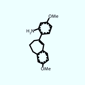 COc1ccc(C2=Cc3ccc(OC)cc3CCC2)c(N)c1